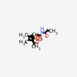 C=CC(=O)NCCOC1(C)C2(C)CC3C(C2C)C1(C)OS3(=O)=O